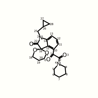 O=C(C(=O)N1CCCCC1)c1cccc2c1C1(OCCCO1)C(=O)N2CC1CC1